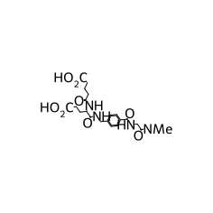 CNC(=O)CNC(=O)c1ccc(CNC(=O)C(CCC(=O)O)NC(=O)CCCC(=O)O)cc1